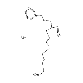 C=CC(CCCCCCCCCCCCCCCCCC)CCC[n+]1ccccc1.[Br-]